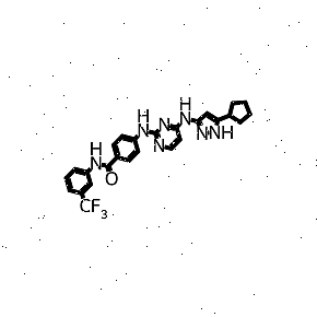 O=C(Nc1cccc(C(F)(F)F)c1)c1ccc(Nc2nccc(Nc3cc(C4CCCC4)[nH]n3)n2)cc1